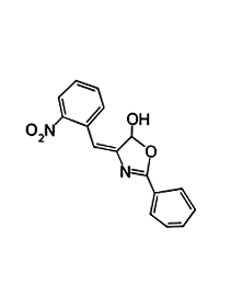 O=[N+]([O-])c1ccccc1/C=C1/N=C(c2ccccc2)OC1O